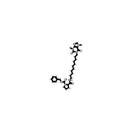 Cn1cnc2c1c(=O)n(CCCCCCCCCCCNC(=O)C1CCCN1C(=O)OCc1ccccc1)c(=O)n2C